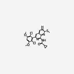 COc1cc(OC)c(Cl)c(-c2cc3c(c(NC(=O)C4CC4)n2)=NC(SC)NC=3)c1Cl